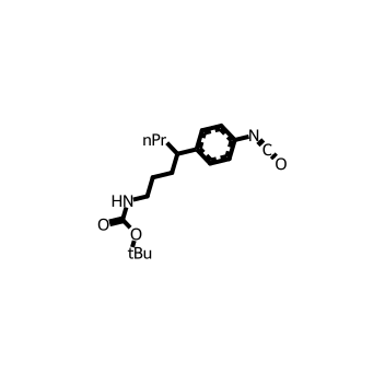 CCCC(CCCNC(=O)OC(C)(C)C)c1ccc(N=C=O)cc1